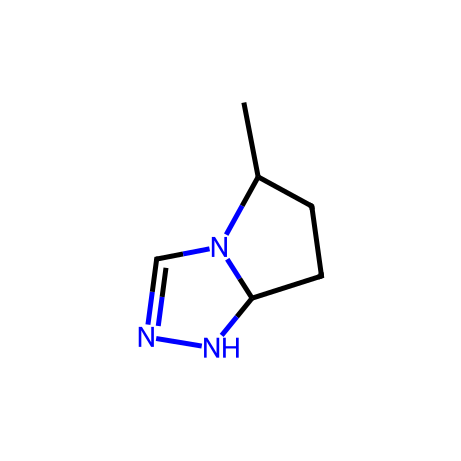 CC1CCC2NN=CN12